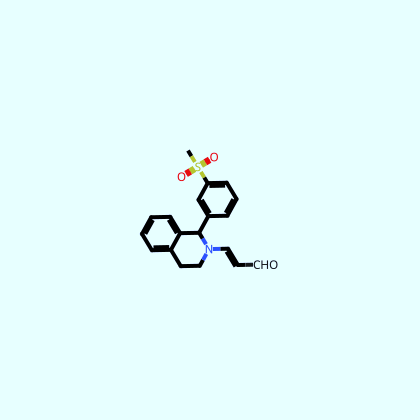 CS(=O)(=O)c1cccc(C2c3ccccc3CCN2C=CC=O)c1